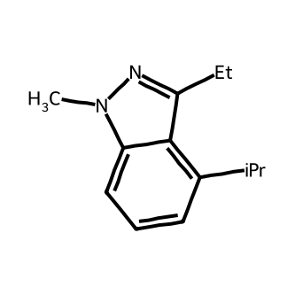 CCc1nn(C)c2cccc(C(C)C)c12